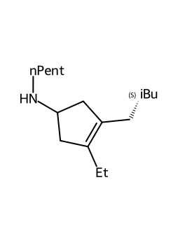 CCCCCNC1CC(CC)=C(C[C@@H](C)CC)C1